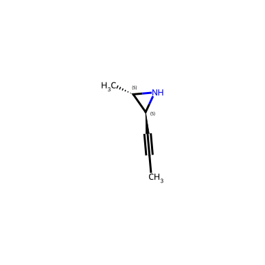 CC#C[C@@H]1N[C@H]1C